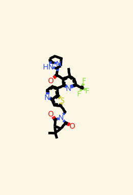 Cc1cc(C(F)(F)F)nc(-c2ccnc3cc(CN4C(=O)C5C(C4=O)C5(C)C)sc23)c1C(=O)N1CC2CCC1CN2